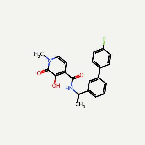 CC(NC(=O)c1ccn(C)c(=O)c1O)c1cccc(-c2ccc(F)cc2)c1